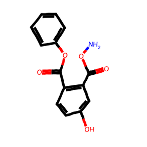 NOC(=O)c1cc(O)ccc1C(=O)Oc1ccccc1